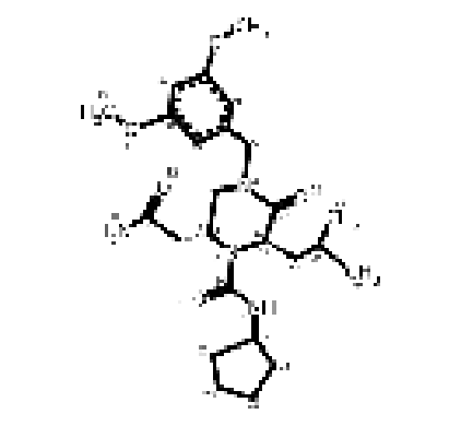 COc1cc(CN2C[C@@H](CC(N)=O)N(C(=O)NC3CCCC3)[C@H](CC(C)C)C2=O)cc(OC)c1